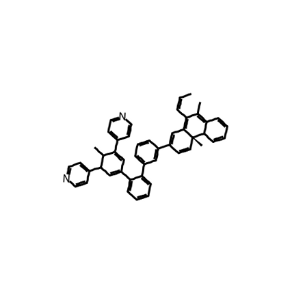 C/C=C\C1=C2C=C(c3cccc(-c4ccccc4C4=CC(c5ccncc5)C(C)C(c5ccncc5)=C4)c3)C=C[C@@]2(C)C2C=CC=CC2=C1C